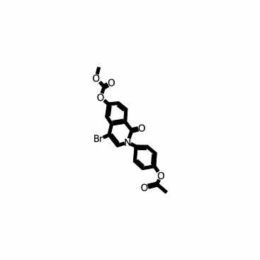 COC(=O)Oc1ccc2c(=O)n(-c3ccc(OC(C)=O)cc3)cc(Br)c2c1